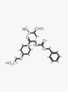 CC(C)(C)OC([C]=O)C[C@H](NC(=O)OCc1ccccc1)C(=O)N1CCC(OCC(=O)O)CC1